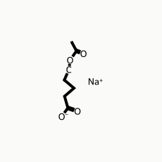 CC(=O)OCCCCC(=O)[O-].[Na+]